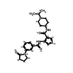 CC(C)N1CCC(NC(=O)c2cscc2NC(=O)c2cccc(N3CCCC3=O)c2)CC1